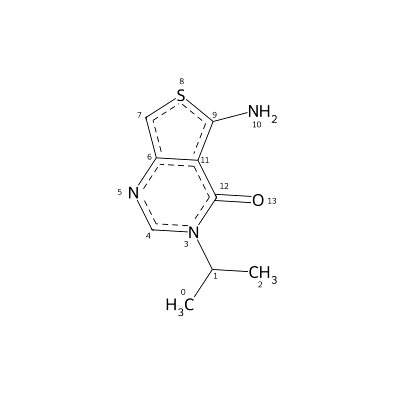 CC(C)n1cnc2csc(N)c2c1=O